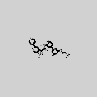 CN(C)CCOc1cc(F)cc(-c2ccnc3[nH]c(-c4n[nH]c5cnc(C6=CCNCC6)cc45)nc23)c1